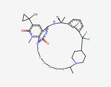 CC1CCCCCCn2c(=O)nc(c3cc(C4(C#N)CC4)c(=O)n(C)c32)N[C@H](C)c2cccc(c2F)C(F)(F)C2CCN1CC2